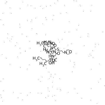 CCCC[C@@H](C)[C@@H](O)CC(=O)N[C@@H](CC)C(=O)N(C)[C@H](SCCCN1CCOCC1)C(=O)N(C)[C@@H](CC(C)(C)OC)C(N)=O